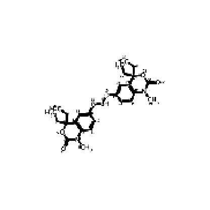 CCC1(CC)OC(=O)N(C)c2ccc(OBOc3ccc4c(c3)C(CC)(CC)OC(=O)N4C)cc21